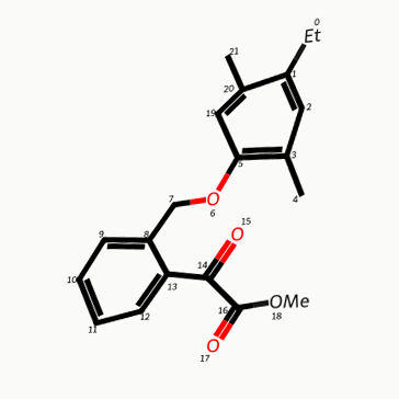 CCc1cc(C)c(OCc2ccccc2C(=O)C(=O)OC)cc1C